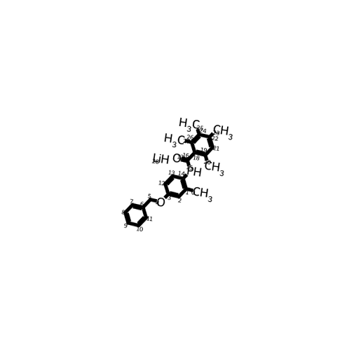 Cc1cc(OCc2ccccc2)ccc1PC(=O)c1c(C)cc(C)c(C)c1C.[LiH]